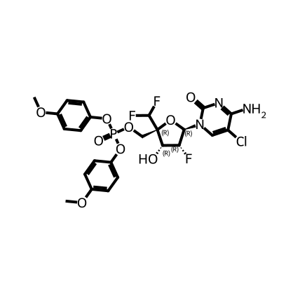 COc1ccc(OP(=O)(OC[C@@]2(C(F)F)O[C@@H](n3cc(Cl)c(N)nc3=O)[C@H](F)[C@@H]2O)Oc2ccc(OC)cc2)cc1